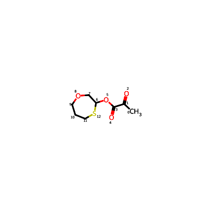 CC(=O)C(=O)OC1COCCCS1